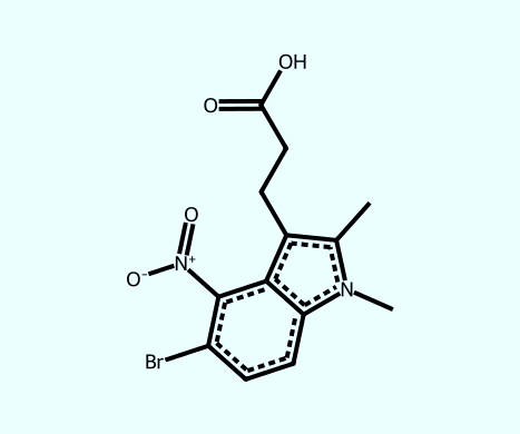 Cc1c(CCC(=O)O)c2c([N+](=O)[O-])c(Br)ccc2n1C